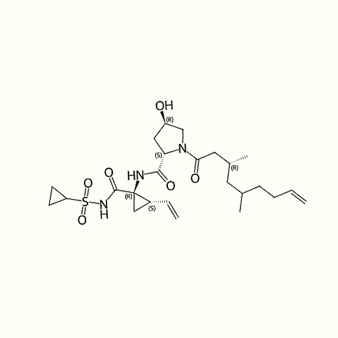 C=CCCC(C)C[C@@H](C)CC(=O)N1C[C@H](O)C[C@H]1C(=O)N[C@]1(C(=O)NS(=O)(=O)C2CC2)C[C@H]1C=C